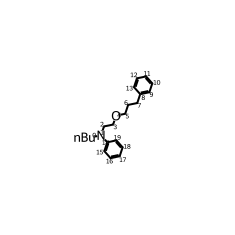 CCCCN(CCOCCCc1ccccc1)c1ccccc1